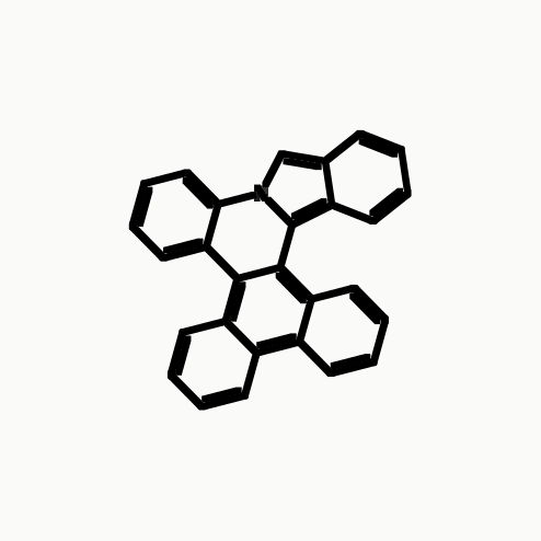 c1ccc2c(c1)cn1c3ccccc3c3c4ccccc4c4ccccc4c3c21